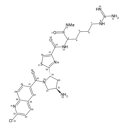 CNC(=O)C(CCCCNC(=N)N)NC(=O)c1csc([C@@H]2C[C@@H](N)CN2C(=O)c2ccc3nc(Cl)ccc3c2)n1